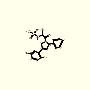 CC[C@H](NS(C)(=O)=O)C(=O)N1CC(c2cc(F)ccc2F)=CC1c1ccccc1